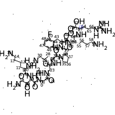 C[C@H](NC(=O)[C@@H](NC(=O)[C@@H](N)CCCCN)[C@@H](O)CN)C(=O)NCC(=O)N[C@H](CCCN)C(=O)N1CCC[C@H]1C(=O)NC(Cc1ccccc1F)C(=O)N[C@@H](CCCCN)C(=O)N/C(=C\CCNC(=N)N)C(=O)O